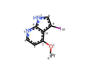 CC(C)Oc1ccnc2[nH]cc(I)c12